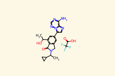 CC(O)c1cc(-c2cnc3c(N)ncnn23)cc2c1C(=O)N(C(C)C1CC1)C2.O=C(O)C(F)(F)F